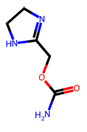 NC(=O)OCC1=N[CH]CN1